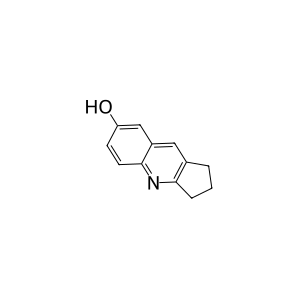 Oc1ccc2nc3c(cc2c1)CCC3